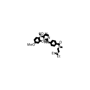 CCN(CC)CCN(C)C(=O)c1ccc(Nc2nccc(N(C(=O)O)c3ccc(OC)cc3OC)n2)cc1